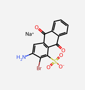 Nc1cc2c(c(S(=O)(=O)[O-])c1Br)C(=O)c1ccccc1C2=O.[Na+]